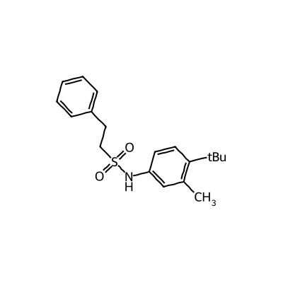 Cc1cc(NS(=O)(=O)CCc2ccccc2)ccc1C(C)(C)C